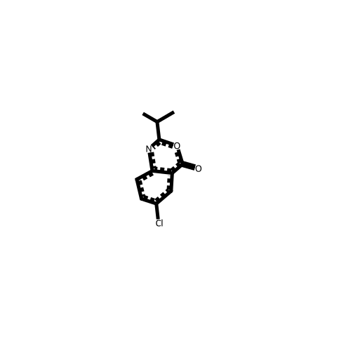 CC(C)c1nc2ccc(Cl)cc2c(=O)o1